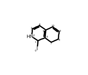 IC1NC=CC2=C1CCC=C2